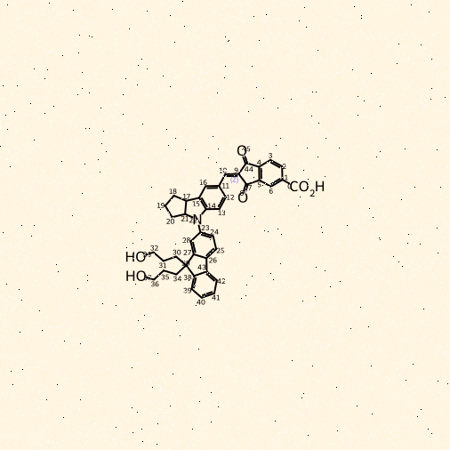 O=C(O)c1ccc2c(c1)C(=O)/C(=C\c1ccc3c(c1)C1CCCC1N3c1ccc3c(c1)C(CCCO)(CCCO)c1ccccc1-3)C2=O